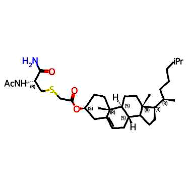 CC(=O)N[C@@H](CSCC(=O)O[C@H]1CC[C@@]2(C)C(=CC[C@H]3C4CC[C@H]([C@H](C)CCCC(C)C)[C@@]4(C)CC[C@@H]32)C1)C(N)=O